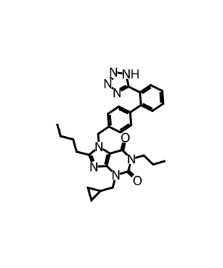 CCCCc1nc2c(c(=O)n(CCC)c(=O)n2CC2CC2)n1Cc1ccc(-c2ccccc2-c2nnn[nH]2)cc1